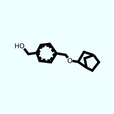 OCc1ccc(COC2CC3CCC2C3)cc1